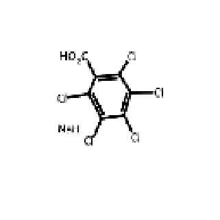 O=C(O)c1c(Cl)c(Cl)c(Cl)c(Cl)c1Cl.[NaH]